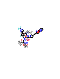 CC(C)(C)OC(=O)NC(C(=O)NN(Cc1c(F)cc(-c2ccn(C(F)F)n2)cc1F)CC(O)C(Cc1ccc(C#Cc2ccc(N3CC4CCC(C3)N4C3COC3)nc2)cc1)NC(=O)C(NC(=O)O)C(C)(C)C(F)(F)F)C(C)(C)C(F)(F)F